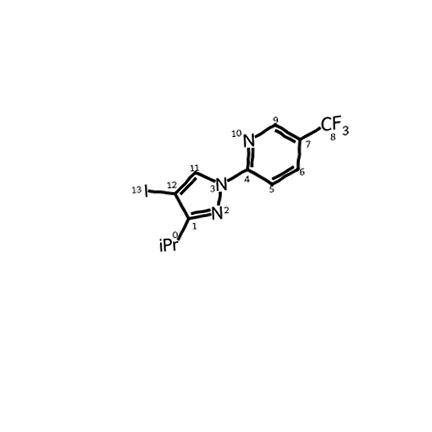 CC(C)c1nn(-c2ccc(C(F)(F)F)cn2)cc1I